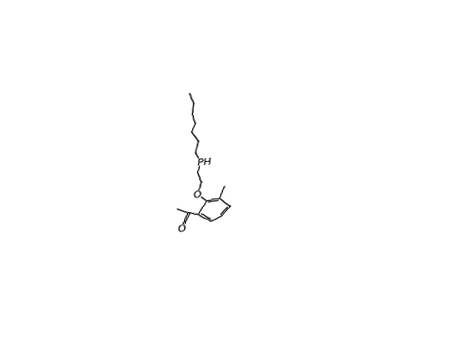 CCCCCCCPCCOc1c(C)cccc1C(C)=O